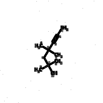 BC#CC(C)(C)CC(C)(C)O